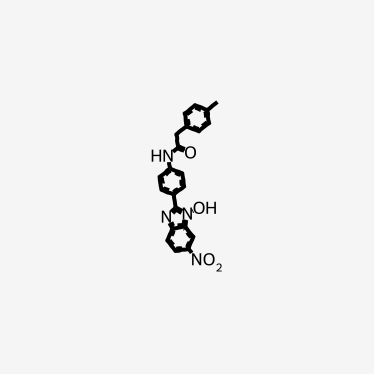 Cc1ccc(CC(=O)Nc2ccc(-c3nc4ccc([N+](=O)[O-])cc4n3O)cc2)cc1